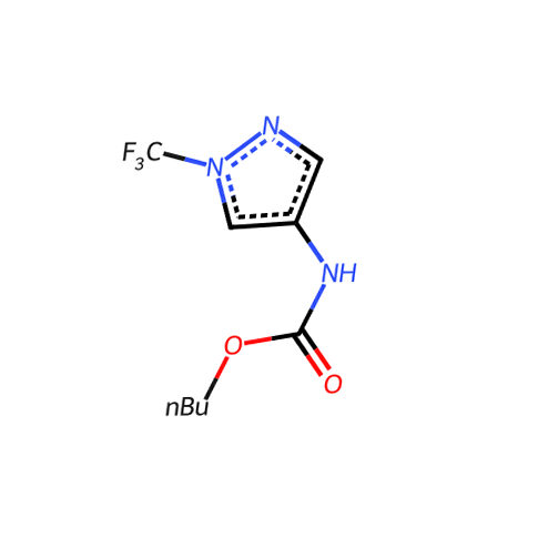 CCCCOC(=O)Nc1cnn(C(F)(F)F)c1